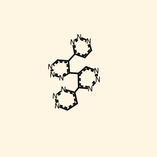 c1cc(-c2cnnnc2-c2cnnnc2-c2ccnnn2)nnn1